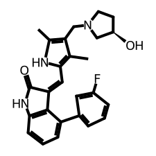 Cc1[nH]c(/C=C2\C(=O)Nc3cccc(-c4cccc(F)c4)c32)c(C)c1CN1CC[C@@H](O)C1